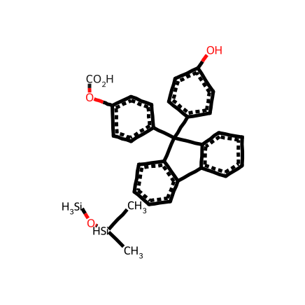 C[SiH](C)O[SiH3].O=C(O)Oc1ccc(C2(c3ccc(O)cc3)c3ccccc3-c3ccccc32)cc1